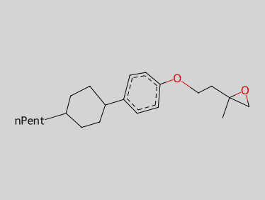 CCCCCC1CCC(c2ccc(OCCC3(C)CO3)cc2)CC1